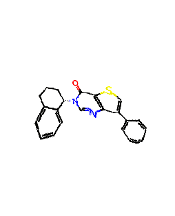 O=c1c2scc(-c3ccccc3)c2ncn1[C@H]1CCCc2ccccc21